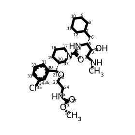 CNC[C@@H](O)[C@@H](CC1CCCCC1)NC(=O)N1CCC[C@@H](C(OCCNC(=O)OC)c2cccc(Cl)c2)C1